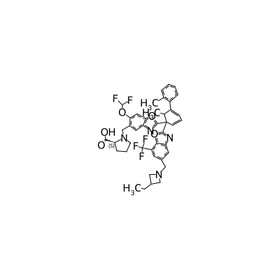 CCC1CN(Cc2cc(C(F)(F)F)c3oc(C4(c5nc6cc(CN7CCC[C@H]7C(=O)O)c(OC(F)F)cc6o5)C=CC=C(c5ccccc5C)C4C)nc3c2)C1